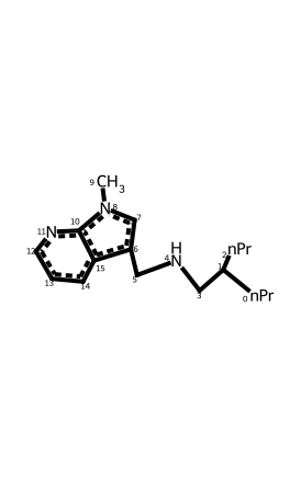 CCCC(CCC)CNCc1cn(C)c2ncccc12